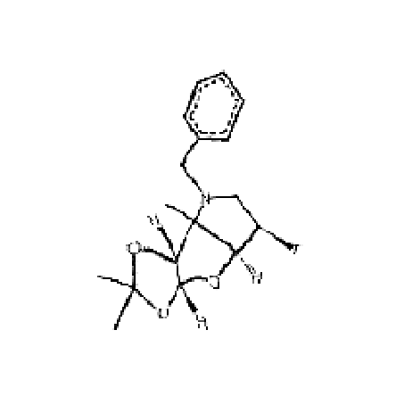 CC1(C)O[C@H]2O[C@@H]3[C@H](F)CN(Cc4ccccc4)C3(C)[C@H]2O1